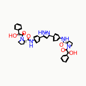 O=C(Nc1ccc(-c2cc(-c3ccc(NC(=O)[C@@H]4CCCN4C(=O)[C@@H](O)c4ccccc4)cc3)[nH]n2)cc1)[C@@H]1CCCN1C(=O)[C@@H](O)c1ccccc1